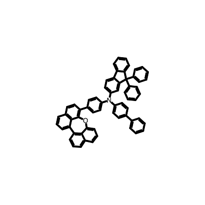 c1ccc(-c2ccc(N(c3ccc(-c4ccc5cccc6c7cccc8cccc(oc4c56)c87)cc3)c3ccc4c(c3)C(c3ccccc3)(c3ccccc3)c3ccccc3-4)cc2)cc1